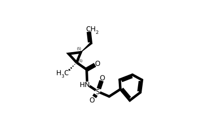 C=C[C@@H]1C[C@]1(C)C(=O)NS(=O)(=O)Cc1ccccc1